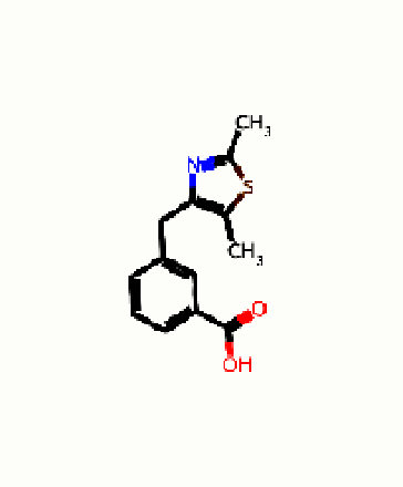 Cc1nc(Cc2cccc(C(=O)O)c2)c(C)s1